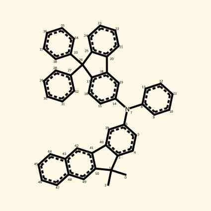 CC1(C)c2ccc(N(c3ccccc3)c3ccc4c(c3)-c3ccccc3C4(c3ccccc3)c3ccccc3)cc2-c2cc3ccccc3cc21